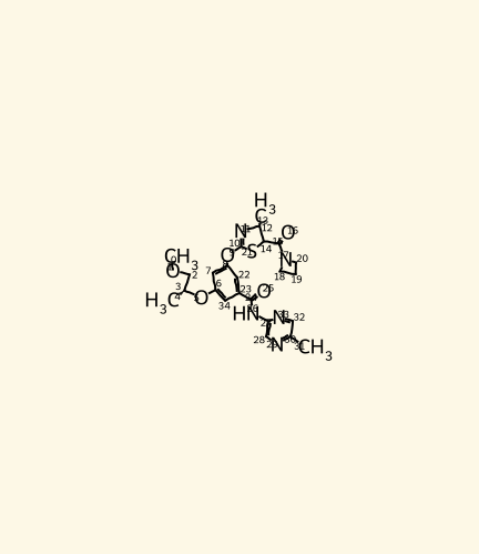 COC[C@H](C)Oc1cc(OC2=NC(C)C(C(=O)N3CCC3)S2)cc(C(=O)Nc2cnc(C)cn2)c1